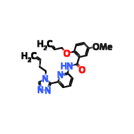 C=CCCn1cnnc1-c1cccc(NC(=O)c2cc(OC)ccc2OCC=C)n1